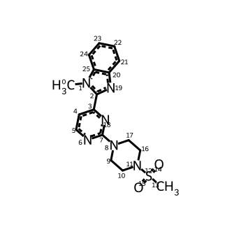 Cn1c(-c2ccnc(N3CCN(S(C)(=O)=O)CC3)n2)nc2ccccc21